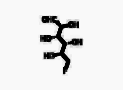 O=C[C@@H](O)[C@@H](O)[C@H](O)[C@H](O)CF